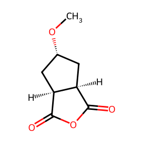 CO[C@H]1C[C@@H]2C(=O)OC(=O)[C@@H]2C1